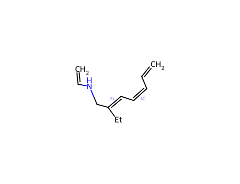 C=C/C=C\C=C(/CC)CNC=C